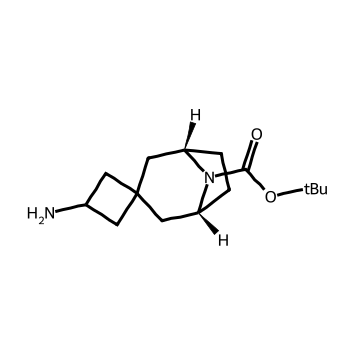 CC(C)(C)OC(=O)N1[C@@H]2CC[C@H]1CC1(CC(N)C1)C2